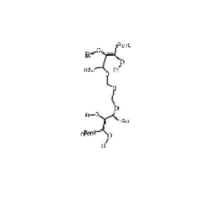 CCCCCC(OCC)=C(OCC)C(CCCC)OCOCOC(CCCC)C(OCC)=C(CCCCC)OCC